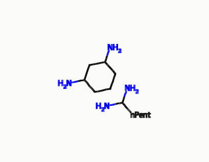 CCCCCC(N)N.NC1CCCC(N)C1